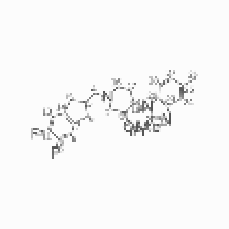 CO[C@@H]1CN(CC2Cc3cc(F)c(F)cc3C2)CC[C@@H]1n1c(C(C)C)nc2cc(C)ccc21